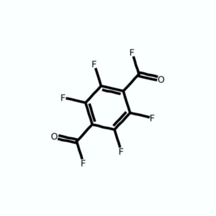 O=C(F)c1c(F)c(F)c(C(=O)F)c(F)c1F